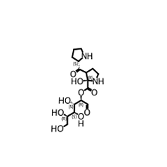 O=C[C@H](OC(=O)[C@@]1(O)NCCC1C(=O)[C@@H]1CCCN1)[C@@H](O)[C@@H](O)[C@H](O)CO